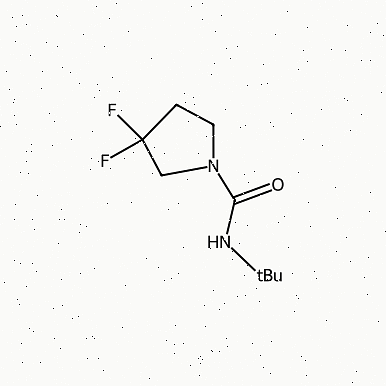 CC(C)(C)NC(=O)N1CCC(F)(F)C1